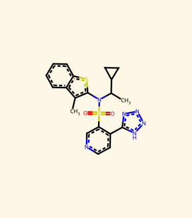 Cc1c(N(C(C)C2CC2)S(=O)(=O)c2cnccc2-c2nnn[nH]2)sc2ccccc12